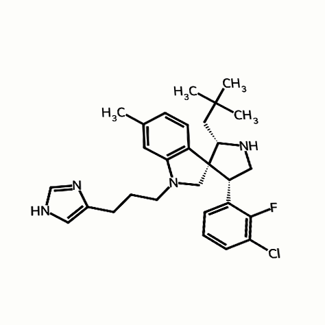 Cc1ccc2c(c1)N(CCCc1c[nH]cn1)C[C@@]21[C@H](CC(C)(C)C)NC[C@@H]1c1cccc(Cl)c1F